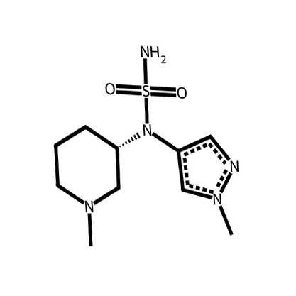 CN1CCC[C@H](N(c2cnn(C)c2)S(N)(=O)=O)C1